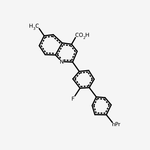 CCCc1ccc(-c2ccc(-c3cc(C(=O)O)c4cc(C)ccc4n3)cc2F)cc1